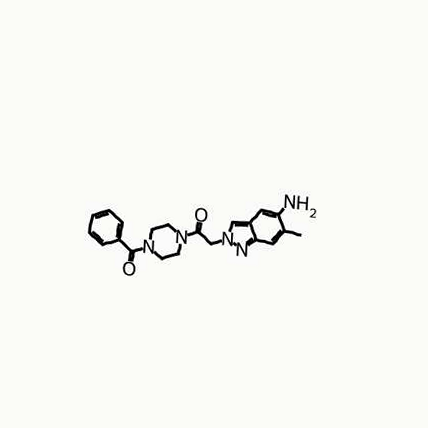 Cc1cc2nn(CC(=O)N3CCN(C(=O)c4ccccc4)CC3)cc2cc1N